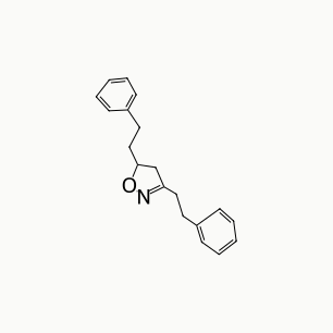 c1ccc(CCC2=NOC(CCc3ccccc3)C2)cc1